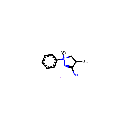 CC1C[N+](C)(c2ccccc2)N=C1N.[I-]